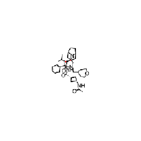 CC(=O)N[C@H]1C[C@H](C(=O)N[C@@H](CCN2C3CCC2CC2(C3)CN(CC3CCOCC3)C(=O)N2C(C)C)c2ccccc2)C1